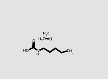 CCCCCNC(=O)O.CCl.S